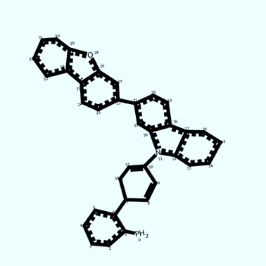 Pc1ccccc1C1C=CC(n2c3ccccc3c3ccc(-c4ccc5c(c4)oc4ccccc45)cc32)=CC1